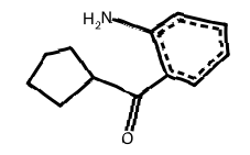 Nc1ccccc1C(=O)C1CCCC1